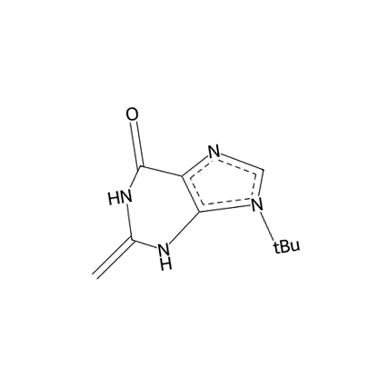 C=C1NC(=O)c2ncn(C(C)(C)C)c2N1